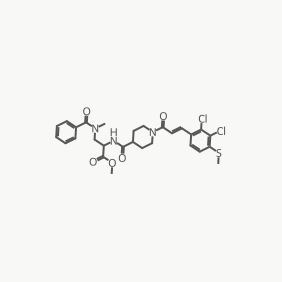 COC(=O)C(CN(C)C(=O)c1ccccc1)NC(=O)C1CCN(C(=O)C=Cc2ccc(SC)c(Cl)c2Cl)CC1